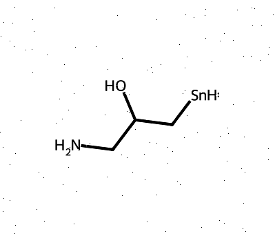 NCC(O)[CH2][SnH]